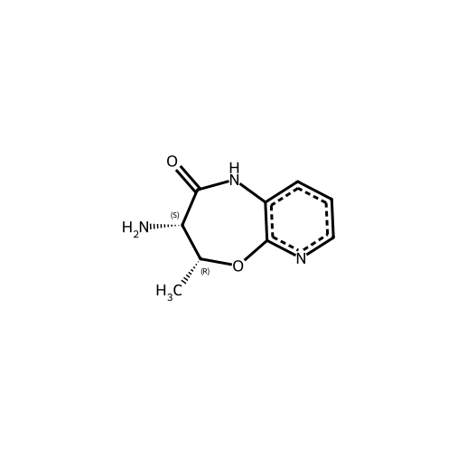 C[C@H]1Oc2ncccc2NC(=O)[C@H]1N